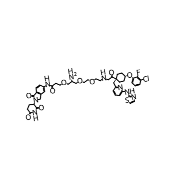 NC(COCCOCCNCC(=O)[C@]1(Cc2cccc(Nc3nccs3)n2)CC[C@@H](Oc2cccc(Cl)c2F)CC1)COCCC(=O)Nc1ccc2c(c1)CN(C1CCC(=O)NC1=O)C2=O